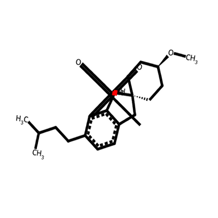 CO[C@H]1CC[C@]2(CC1)Cc1ccc(CCC(C)C)cc1C21NC(=O)NC1=O